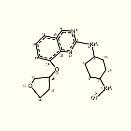 CC(C)NC1CCC(Nc2ncc3cccc(OC4CCOC4)c3n2)CC1